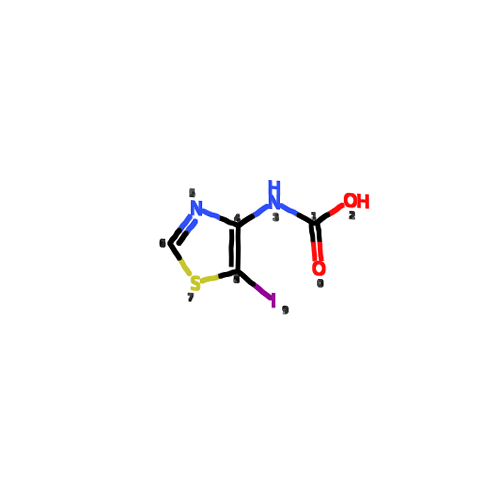 O=C(O)Nc1ncsc1I